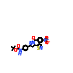 CC(C)(C)OC(=O)Nc1ccc(C2=NN(C(=O)c3ccc([N+](=O)[O-])cc3)C(c3ccns3)C2)cc1